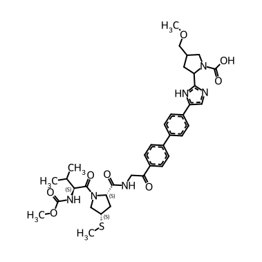 COCC1CC(c2ncc(-c3ccc(-c4ccc(C(=O)CNC(=O)[C@@H]5C[C@H](SC)CN5C(=O)[C@@H](NC(=O)OC)C(C)C)cc4)cc3)[nH]2)N(C(=O)O)C1